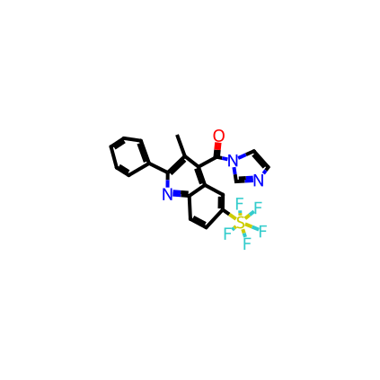 Cc1c(-c2ccccc2)nc2ccc(S(F)(F)(F)(F)F)cc2c1C(=O)n1ccnc1